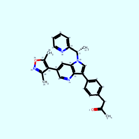 CC(=O)Cc1ccc(-c2cn([C@@H](C)c3ccccn3)c3cc(-c4c(C)noc4C)cnc23)cc1